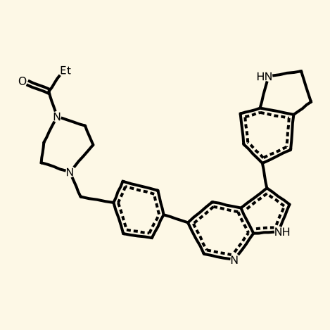 CCC(=O)N1CCN(Cc2ccc(-c3cnc4[nH]cc(-c5ccc6c(c5)CCN6)c4c3)cc2)CC1